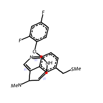 CNC1/C=C\N/C=N\C=C\1c1cc(CSC)ccc1Oc1ccc(F)cc1F